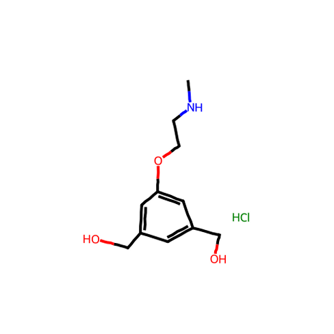 CNCCOc1cc(CO)cc(CO)c1.Cl